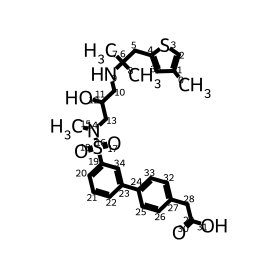 Cc1csc(CC(C)(C)NCC(O)CN(C)S(=O)(=O)c2cccc(-c3ccc(CC(=O)O)cc3)c2)c1